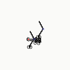 CCCCCCCC/C=C\CCCCCCCC(=O)[O-].CCCCCCCC/C=C\CCCCCCCC(=O)[O-].[Cu+2].[Cu+2].[O-]c1ccc2ccccc2n1.[O-]c1ccc2ccccc2n1